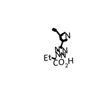 C#Cc1cncc(-c2nnn(C(CC)C(=O)O)n2)c1